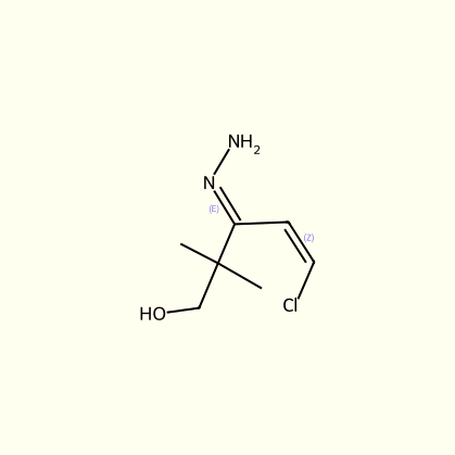 CC(C)(CO)C(/C=C\Cl)=N/N